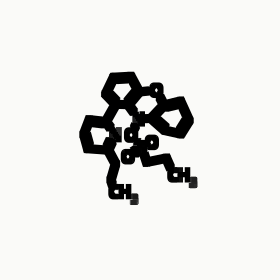 CCCc1cccc(-c2cccc3c2N(OS(=O)(=O)CCC)c2ccccc2O3)n1